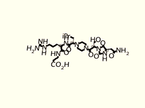 CC(C)C[C@@H](C(=O)N[C@H](CCCNC(=N)N)C(=O)NCCC(=O)O)N1CCN(C(=O)[C@H](CO)N2C(=O)N[C@H](CC(N)=O)C2=O)CC1